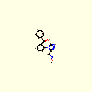 O=C(c1ccccc1)c1ccccc1-n1cnnc1CNO